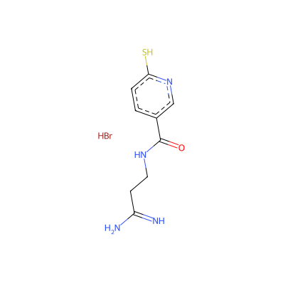 Br.N=C(N)CCNC(=O)c1ccc(S)nc1